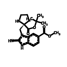 COC(=O)c1ccc2[nH]c(=N)n(C[C@@]3(C(=O)OC(C)(C)C)CCCN3)c2c1